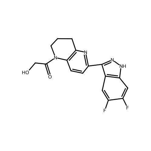 O=C(CO)N1CCCc2nc(-c3n[nH]c4cc(F)c(F)cc34)ccc21